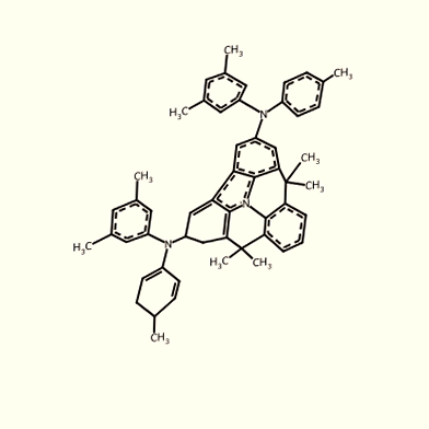 Cc1ccc(N(c2cc(C)cc(C)c2)c2cc3c4c(c2)c2c5n4-c4c(cccc4C3(C)C)C(C)(C)C=5CC(N(C3=CCC(C)C=C3)c3cc(C)cc(C)c3)C=2)cc1